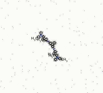 Cc1ccc(N(c2ccccc2)c2ccc3c(c2)C(C)(C)c2cc(/C=C/c4ccc5c6ccc(/C=C/c7ccc8c(c7)C(C)(C)c7cc(N(c9ccccc9)c9ccc(C)cc9)ccc7-8)cc6c6ccccc6c5c4)ccc2-3)cc1